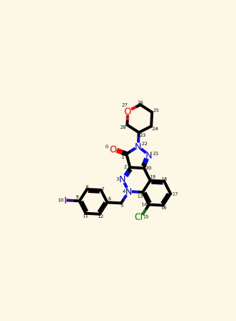 O=c1c2nn(Cc3ccc(I)cc3)c3c(Cl)cccc3c-2nn1C1CCCOC1